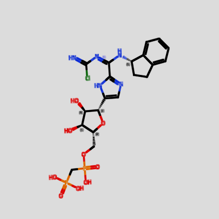 N=C(Cl)/N=C(/N[C@H]1CCc2ccccc21)c1ncc([C@@H]2O[C@H](COP(=O)(O)CP(=O)(O)O)[C@@H](O)[C@H]2O)[nH]1